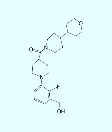 O=C(C1CCN(c2cccc(CO)c2F)CC1)N1CCC(C2CCOCC2)CC1